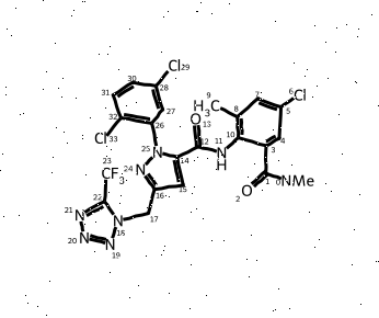 CNC(=O)c1cc(Cl)cc(C)c1NC(=O)c1cc(Cn2nnnc2C(F)(F)F)nn1-c1cc(Cl)ccc1Cl